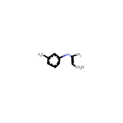 CCOC(=O)C=C(Nc1cccc(C(F)(F)F)c1)C(F)(F)F